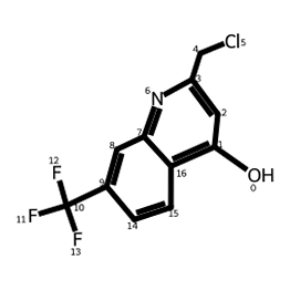 Oc1cc(CCl)nc2cc(C(F)(F)F)ccc12